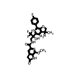 COc1nc(C(=O)NCC(O)(c2cc3c(c(-c4ccc(F)cc4)n2)OCC3(C)N)C(F)(F)F)cc2c1NC(=O)C2